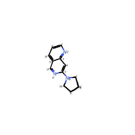 c1cnc2cc(N3CCCC3)ncc2c1